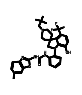 Cc1ccc2nc(NC(=O)Nc3ccccc3N3CC4(CCN(CC(C)(C)C)CC4)c4c(C(F)(F)F)ccc(O)c43)sc2c1